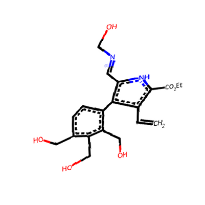 C=Cc1c(C(=O)OCC)[nH]c(/C=N/CO)c1-c1ccc(CO)c(CO)c1CO